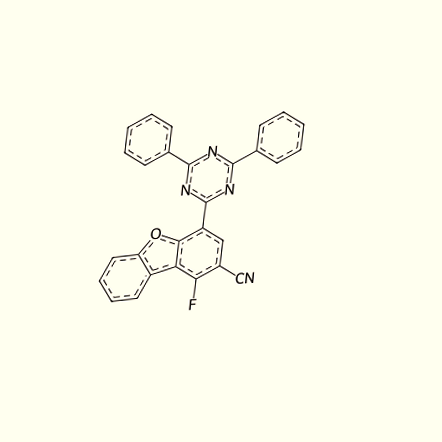 N#Cc1cc(-c2nc(-c3ccccc3)nc(-c3ccccc3)n2)c2oc3ccccc3c2c1F